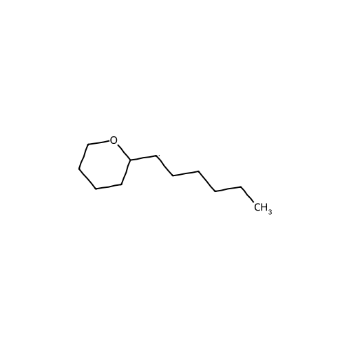 CCCCC[CH]C1CCCCO1